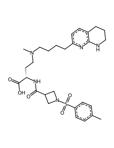 Cc1ccc(S(=O)(=O)N2CC(C(=O)N[C@@H](CCN(C)CCCCc3ccc4c(n3)NCCC4)C(=O)O)C2)cc1